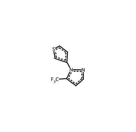 FC(F)(F)c1ccnn1-c1[c]scc1